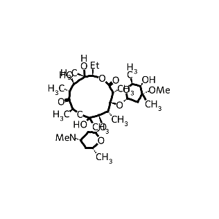 CC[C@H]1OC(=O)[C@H](C)[C@@H](O[C@H]2C[C@@](C)(OC)[C@@H](O)[C@H](C)O2)[C@H](C)[C@@H](O[C@H]2C[C@@H](NC)C[C@@H](C)O2)C(C)(O)C[C@@H](C)C(=O)[C@H](C)[C@@H](O)[C@]1(C)O